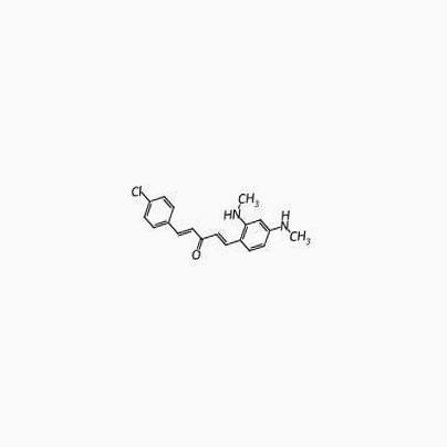 CNc1ccc(C=CC(=O)C=Cc2ccc(Cl)cc2)c(NC)c1